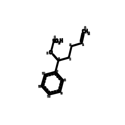 C=CCCC(OS(=O)(=O)O)c1ccccc1